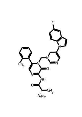 CN[C@@H](C)C(=O)Nc1ncc(-c2ccccc2C)n(CN2C=NC=C(n3ccc4cc(F)ccc43)C2)c1=O